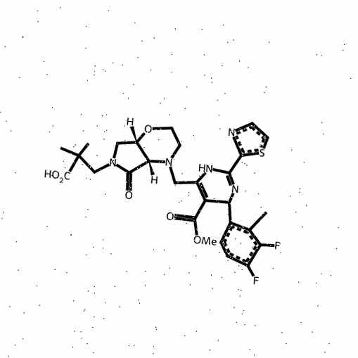 COC(=O)C1=C(CN2CCO[C@H]3CN(CC(C)(C)C(=O)O)C(=O)[C@H]32)NC(c2nccs2)=NC1c1ccc(F)c(F)c1C